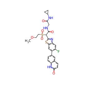 COCCS(=O)(=O)C(C(=O)NCC(=O)NC1CC1)c1nc2cc(F)c(-c3ccc4[nH]c(=O)ccc4c3)cc2s1